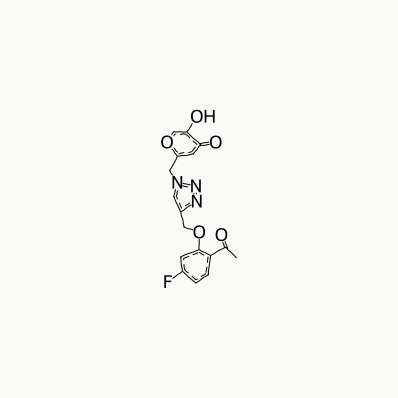 CC(=O)c1ccc(F)cc1OCc1cn(Cc2cc(=O)c(O)co2)nn1